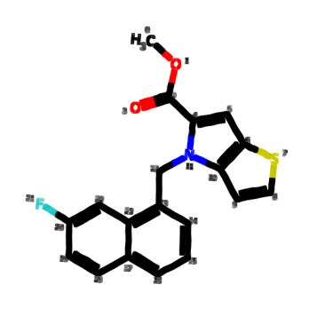 COC(=O)c1cc2sccc2n1Cc1cccc2ccc(F)cc12